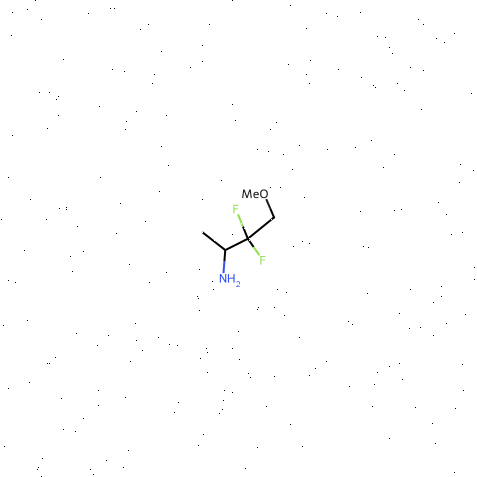 COCC(F)(F)C(C)N